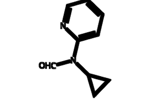 O=CN(c1ccccn1)C1CC1